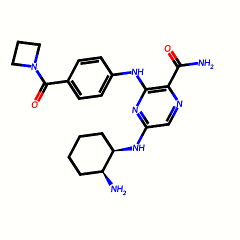 NC(=O)c1ncc(N[C@@H]2CCCC[C@@H]2N)nc1Nc1ccc(C(=O)N2CCC2)cc1